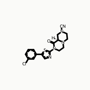 N#CN1CCN2CCN(c3ncc(-c4cccc(Cl)c4)s3)C(=O)[C@H]2C1